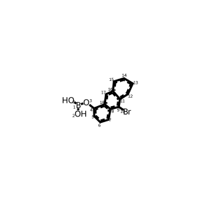 OB(O)Oc1cccc2c(Br)c3ccccc3cc12